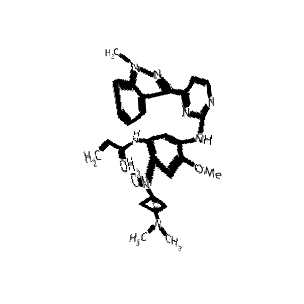 C=CC(=O)Nc1cc(Nc2nccc(-c3nn(C)c4ccccc34)n2)c(OC)cc1N(C)C12CC(N(C)C)(C1)C2